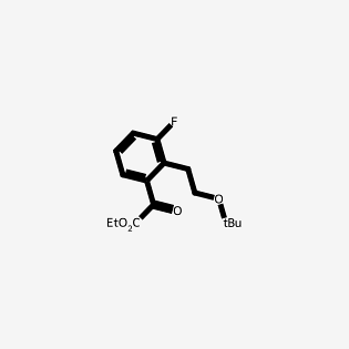 CCOC(=O)C(=O)c1cccc(F)c1CCOC(C)(C)C